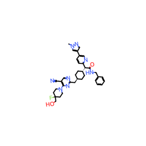 Cn1cc(-c2ccc(C(C(=O)NCc3ccccc3)[C@H]3CC[C@H](Cc4ncc(C#N)c(N5CCC(F)(CO)CC5)n4)CC3)nc2)cn1